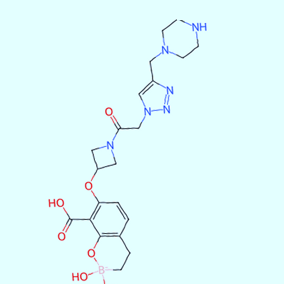 O=C(O)c1c(OC2CN(C(=O)Cn3cc(CN4CCNCC4)nn3)C2)ccc2c1O[B-](O)(O)CC2